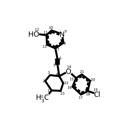 CC1CCC(C#Cc2cncc(O)c2)(Oc2ccc(Cl)cc2)CC1